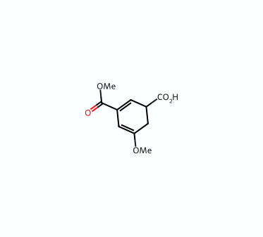 COC(=O)C1=CC(C(=O)O)CC(OC)=C1